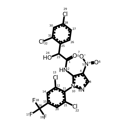 O=C(Nc1c([N+](=O)[O-])cnn1-c1c(Cl)cc(C(F)(F)F)cc1Cl)C(O)c1ccc(Cl)cc1Cl